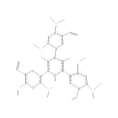 C=Cc1cc(-c2c(C)c(-c3cc(C=O)c(N(C)C)cc3OC)c(C)c(-c3cc(C=O)c(N(C)C)cc3OC)c2C)c(N(C)C)cc1OC